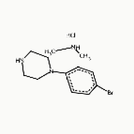 Brc1ccc(N2CCNCC2)cc1.CNC.Cl